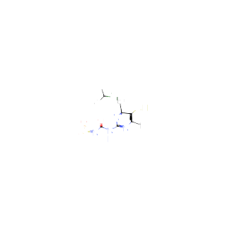 CC(Cl)C(F)(F)F.CCc1nc(NC(=O)N=S(=O)=O)nc(CC)c1S